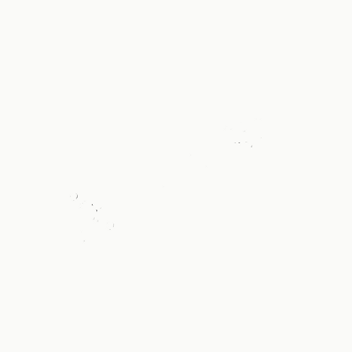 CC1=C(C)C(=O)N(CCCCCCCCCCCCC2CC3C=CC2C3)C1=O